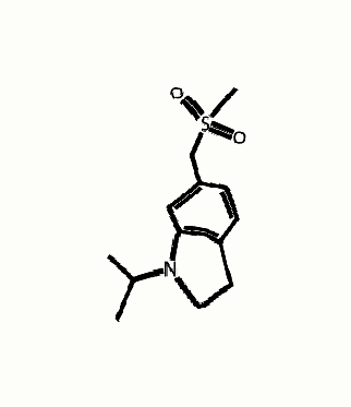 CC(C)N1CCc2ccc(CS(C)(=O)=O)cc21